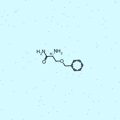 NC(=O)[C@H](N)COCc1ccccc1